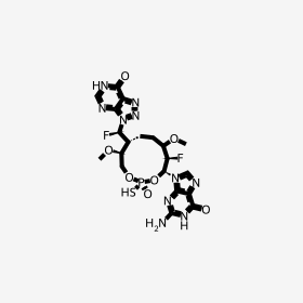 COC1CC[C@@H]([C@@H](F)n2nnc3c(=O)[nH]cnc32)[C@H](OC)COP(=O)(S)O[C@@H](n2cnc3c(=O)[nH]c(N)nc32)[C@@H]1F